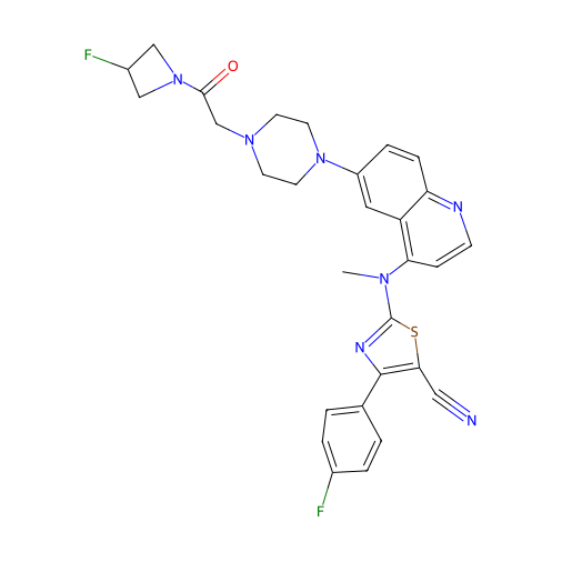 CN(c1nc(-c2ccc(F)cc2)c(C#N)s1)c1ccnc2ccc(N3CCN(CC(=O)N4CC(F)C4)CC3)cc12